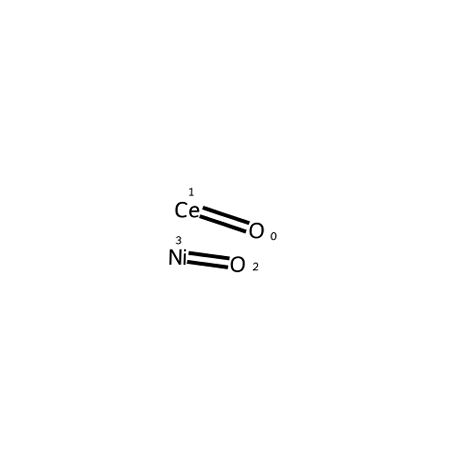 [O]=[Ce].[O]=[Ni]